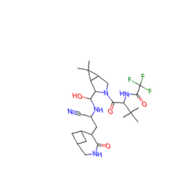 CC(C)(C)C(NC(=O)C(F)(F)F)C(=O)N1CC2C(C1C(O)NC(C#N)CC1C(=O)NCC3CC1C3)C2(C)C